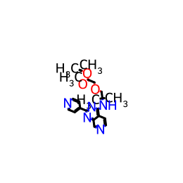 CC(C)(COCC(=O)OC(C)(C)C)Nc1nc(-c2ccncc2)nc2cnccc12